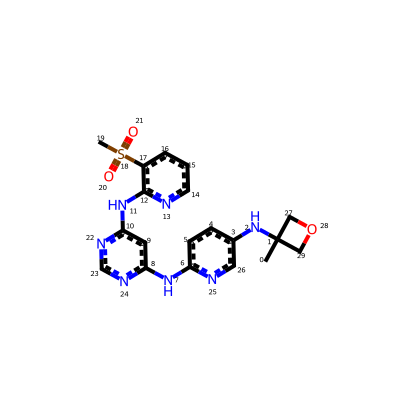 CC1(Nc2ccc(Nc3cc(Nc4ncccc4S(C)(=O)=O)ncn3)nc2)COC1